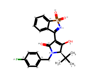 CC(C)(C)[C@@H]1C(O)=C(C2=NS(=O)(=O)c3ccccc32)C(=O)N1Cc1ccc(F)cc1